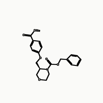 COC(=O)c1ccc(OC[C@@H]2COCCN2C(=O)OCc2ccccc2)cc1